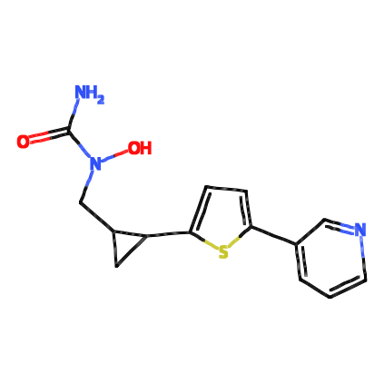 NC(=O)N(O)CC1CC1c1ccc(-c2cccnc2)s1